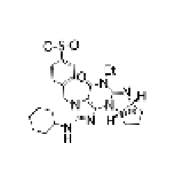 CCN1C(=O)c2c(nc(NC3CCCCC3)n2Cc2ccc(S(C)(=O)=O)cc2)N2C1=N[C@@H]1CCC[C@@H]12